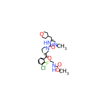 CNC[C@H](CC1CCOCC1)NC(=O)N1CCC[C@@H]([C@@H](OCCNC(=O)OC)c2cccc(Cl)c2F)C1